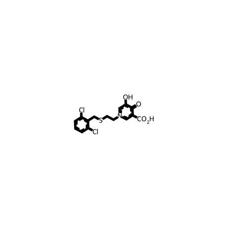 O=C(O)c1cn(CCSCc2c(Cl)cccc2Cl)cc(O)c1=O